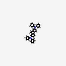 CC1(C)c2cc(N(c3ccccc3)c3ccccc3)ccc2-c2ccc(N(C3=CC=CCC3)C3C=CC=CC3)cc21